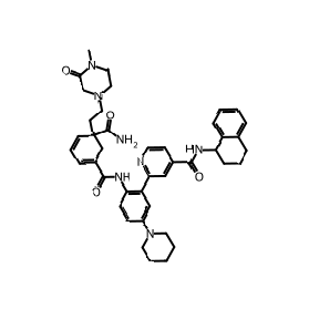 CN1CCN(CCC2(C(N)=O)C=CC=C(C(=O)Nc3ccc(N4CCCCC4)cc3-c3cc(C(=O)NC4CCCc5ccccc54)ccn3)C2)CC1=O